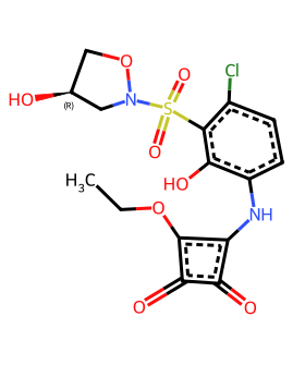 CCOc1c(Nc2ccc(Cl)c(S(=O)(=O)N3C[C@@H](O)CO3)c2O)c(=O)c1=O